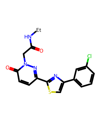 CCNC(=O)Cn1nc(-c2nc(-c3cccc(Cl)c3)cs2)ccc1=O